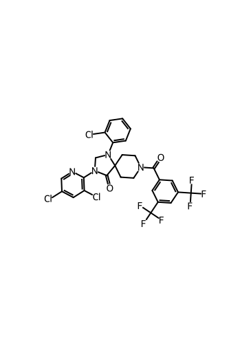 O=C(c1cc(C(F)(F)F)cc(C(F)(F)F)c1)N1CCC2(CC1)C(=O)N(c1ncc(Cl)cc1Cl)CN2c1ccccc1Cl